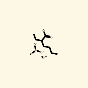 CCCCC(CC)C(=O)[O-].[Nb+4].[O-]B([O-])[O-]